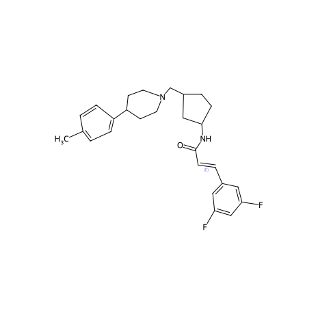 Cc1ccc(C2CCN(CC3CCC(NC(=O)/C=C/c4cc(F)cc(F)c4)C3)CC2)cc1